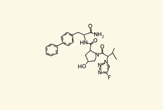 CC(C)C(C(=O)N1CC(O)CC1C(=O)NC(Cc1ccc(-c2ccccc2)cc1)C(N)=O)n1cc(F)nn1